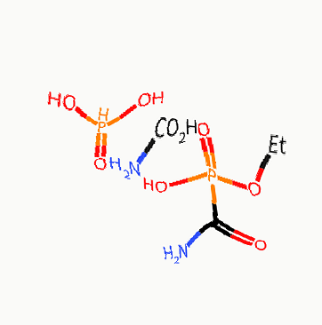 CCOP(=O)(O)C(N)=O.NC(=O)O.O=[PH](O)O